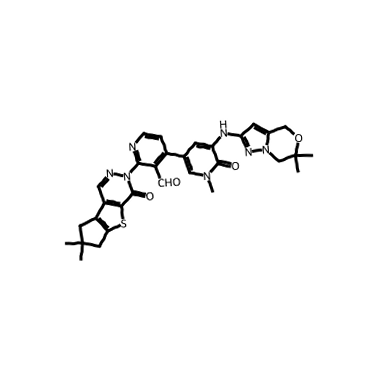 Cn1cc(-c2ccnc(-n3ncc4c5c(sc4c3=O)CC(C)(C)C5)c2C=O)cc(Nc2cc3n(n2)CC(C)(C)OC3)c1=O